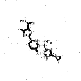 Cc1nc(-c2ncc(Cl)c(N(N)c3cc(C4CC4)n[nH]3)n2)sc1C(C)O